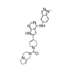 Cn1ncc2cc(Nc3ncnc4[nH]c(C5=CCN(C(=O)N6CCN7CCC=C7C6)CC5)cc34)ccc21